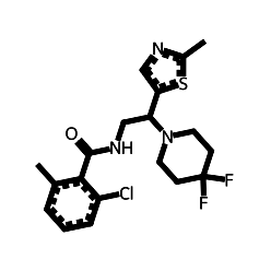 Cc1ncc(C(CNC(=O)c2c(C)cccc2Cl)N2CCC(F)(F)CC2)s1